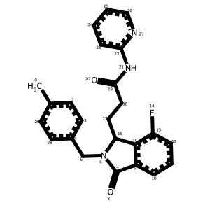 Cc1ccc(CN2C(=O)c3cccc(F)c3C2CCC(=O)Nc2ccccn2)cc1